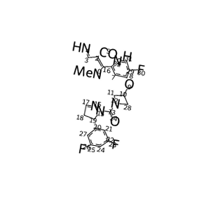 CN/C(=C(\C=N)C(=O)O)c1cc(OC2CN(C(=O)N3N=CC[C@H]3c3cc(F)cc(F)c3)C2)c(F)cn1